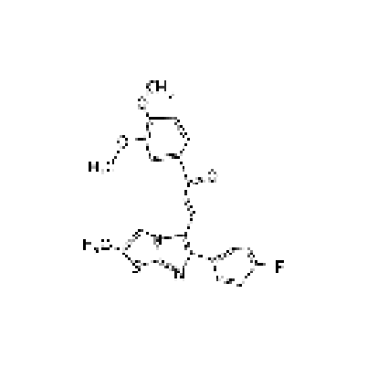 COc1ccc(C(=O)/C=C/c2c(-c3ccc(F)cc3)nc3sc(C)cn23)cc1OC